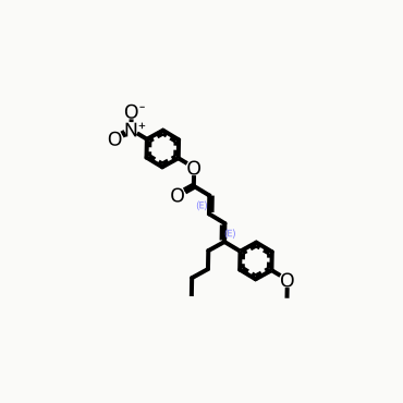 CCCC/C(=C\C=C\C(=O)Oc1ccc([N+](=O)[O-])cc1)c1ccc(OC)cc1